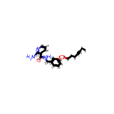 CCC#CCCCOc1cccc(CNC(=O)c2cccnc2N)c1